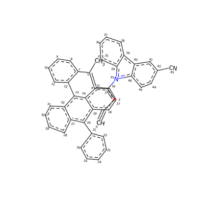 C#C/C=C(\C=C(/C)c1ccccc1-c1c2ccccc2c(-c2ccccc2)c2ccccc12)n1c2ccccc2c2cc(C#N)ccc21